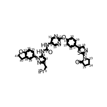 CC(C)Cc1cc(NC(=O)Nc2cnc(Oc3ccc(-c4cnc(N5CCCC5=O)s4)cc3)nc2)n(-c2ccc3c(c2)CCO3)n1